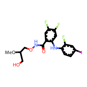 COC(CO)CONC(=O)c1cc(F)c(F)cc1Nc1ccc(I)cc1F